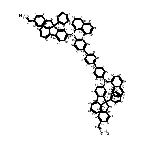 C=Cc1ccc(CC2(c3ccccc3)c3ccccc3-c3ccc(N(c4ccc(-c5ccc(-c6ccc(N(c7ccc8c(c7)C(Cc7ccc(C=C)cc7)(c7ccccc7)c7ccccc7-8)c7cccc8ccccc78)cc6)cc5)cc4)c4cccc5ccccc45)cc32)cc1